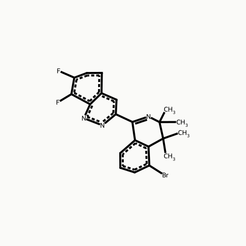 CC1(C)N=C(c2cc3ccc(F)c(F)c3nn2)c2cccc(Br)c2C1(C)C